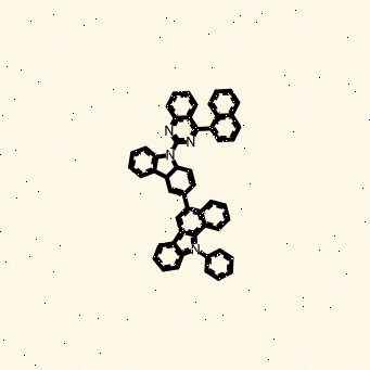 C1=CC2C(C=C1c1cc3c4ccccc4n(-c4ccccc4)c3c3ccccc13)c1ccccc1N2c1nc(-c2cccc3ccccc23)c2ccccc2n1